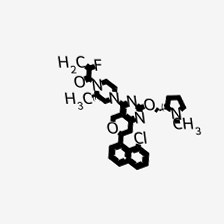 C=C(F)C(=O)N1CCN(c2nc(OC[C@@H]3CCCN3C)nc3c2COC(c2cccc4cccc(Cl)c24)C3)C[C@H]1C